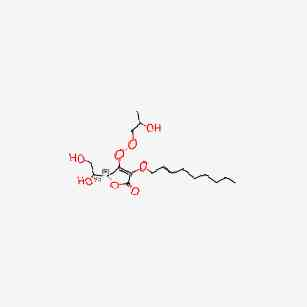 CCCCCCCCCOC1=C(OOCC(C)O)[C@@H]([C@@H](O)CO)OC1=O